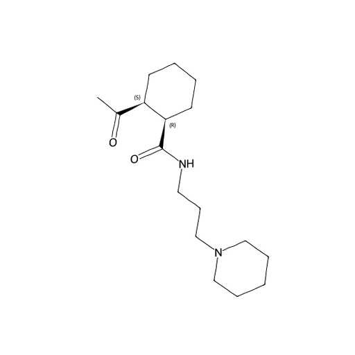 CC(=O)[C@H]1CCCC[C@H]1C(=O)NCCCN1CCCCC1